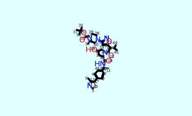 Cc1ncsc1-c1ccc([C@H](C)NC(=O)[C@@H]2C[C@@H](O)CN2C(=O)[C@H](c2cc(N3CCN(C(=O)OC(C)(C)C)[C@H](C)C3)no2)C(C)C)cc1